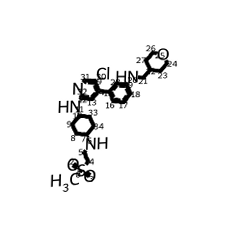 CS(=O)(=O)CCN[C@H]1CC[C@H](Nc2cc(-c3cccc(NCC4CCOCC4)c3)c(Cl)cn2)CC1